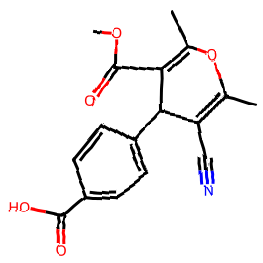 COC(=O)C1=C(C)OC(C)=C(C#N)C1c1ccc(C(=O)O)cc1